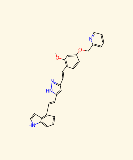 COc1cc(OCc2ccccn2)ccc1/C=C/c1cc(/C=C/c2cccc3[nH]ccc23)[nH]n1